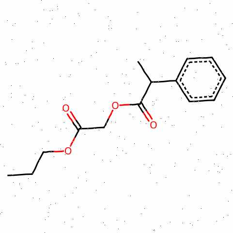 CCCOC(=O)COC(=O)C(C)c1ccccc1